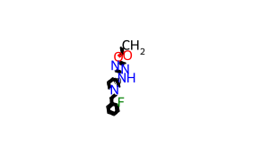 C=CC(=O)Oc1cnc(N[C@@H]2CCCN(CCc3ccccc3F)C2)cn1